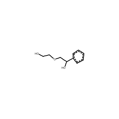 OCCOCC(O)c1ccccc1